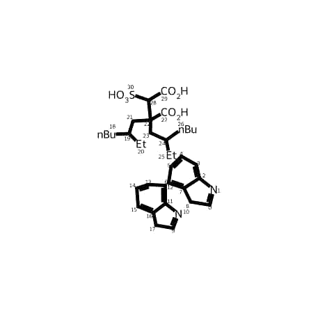 C1=Nc2ccccc2C1.C1=Nc2ccccc2C1.CCCCC(CC)CC(CC(CC)CCCC)(C(=O)O)C(C(=O)O)S(=O)(=O)O